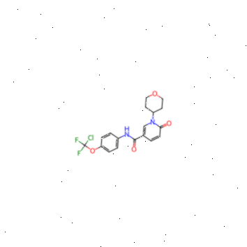 O=C(Nc1ccc(OC(F)(F)Cl)cc1)c1ccc(=O)n(C2CCOCC2)c1